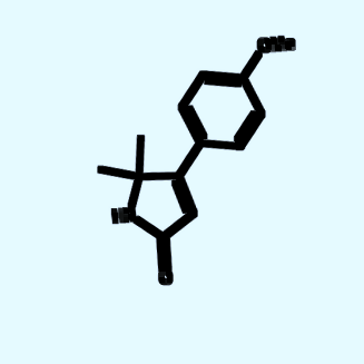 COc1ccc(C2=CC(=O)NC2(C)C)cc1